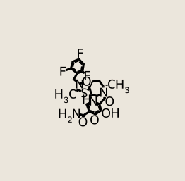 CC1S[C@]2(CC[C@H](C)N3C[C@H]2n2cc(C(N)=O)c(=O)c(O)c2C3=O)ON1Cc1c(F)cc(F)cc1F